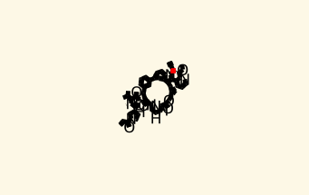 C#CCn1c(-c2cccnc2[C@H](C)OC)c2c3cc(ccc31)-c1cccc(c1)C[C@H](NC(=O)C(C(C)C)N(C)C(=O)[C@H]1CCN(C(=O)C=C)C1)C(=O)N1CCC[C@H](N1)C(=O)OCC(C)(C)C2